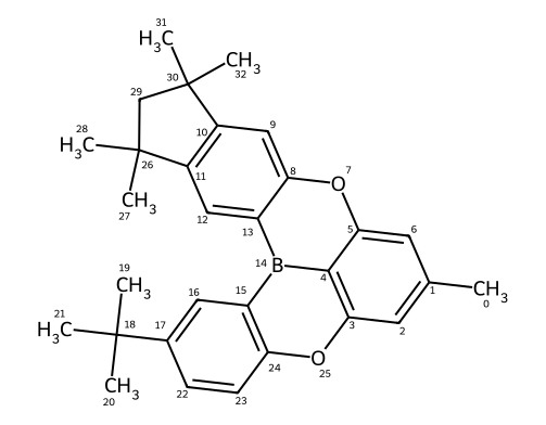 Cc1cc2c3c(c1)Oc1cc4c(cc1B3c1cc(C(C)(C)C)ccc1O2)C(C)(C)CC4(C)C